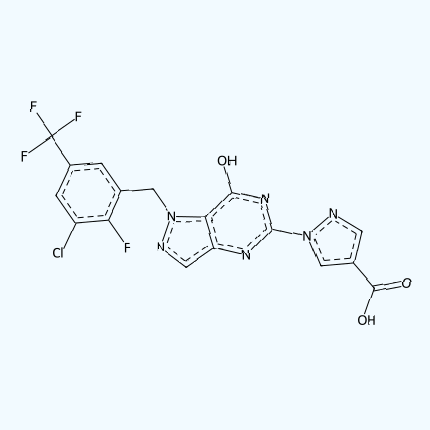 O=C(O)c1cnn(-c2nc(O)c3c(cnn3Cc3cc(C(F)(F)F)cc(Cl)c3F)n2)c1